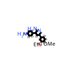 CCOc1cc(-c2cnc(N)c(-c3ccc(N)cc3)c2)ccc1OC